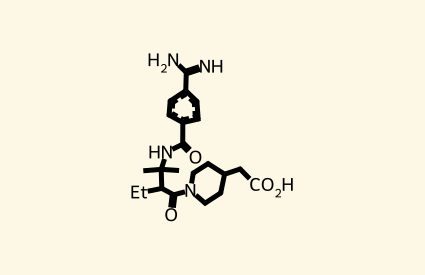 CCC(C(=O)N1CCC(CC(=O)O)CC1)C(C)(C)NC(=O)c1ccc(C(=N)N)cc1